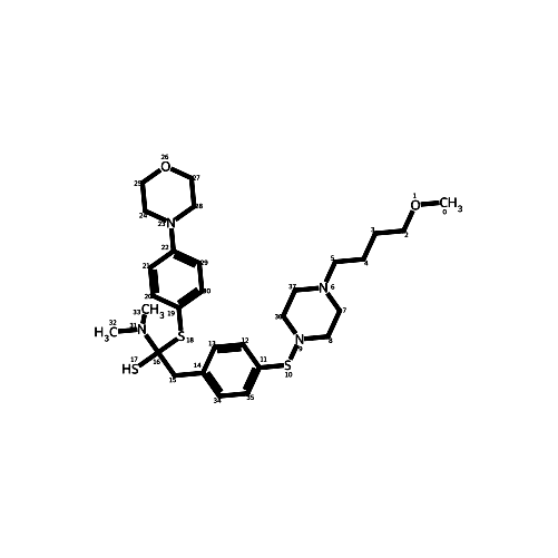 COCCCCN1CCN(Sc2ccc(CC(S)(Sc3ccc(N4CCOCC4)cc3)N(C)C)cc2)CC1